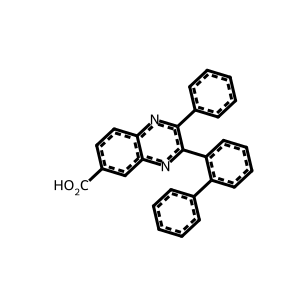 O=C(O)c1ccc2nc(-c3ccccc3)c(-c3ccccc3-c3ccccc3)nc2c1